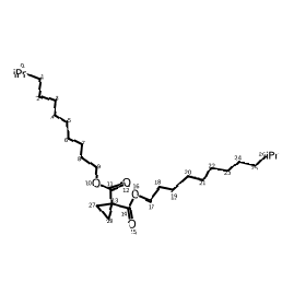 CC(C)CCCCCCCCCOC(=O)C1(C(=O)OCCCCCCCCCC(C)C)CC1